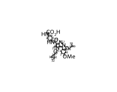 COc1ccc(-c2ncnc3c(C(=O)NC4CCC(NC(=O)O)CC4)c(C)n(COCC[Si](C)(C)C)c23)c(OCC2CC2)c1